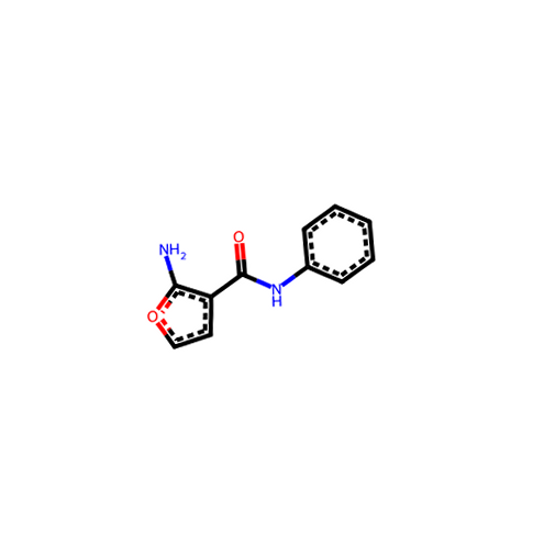 Nc1occc1C(=O)Nc1ccccc1